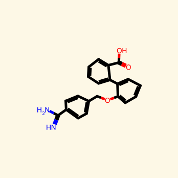 N=C(N)c1ccc(COc2ccccc2-c2ccccc2C(=O)O)cc1